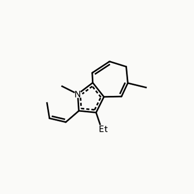 C/C=C\c1c(CC)c2c(n1C)C=CCC(C)=C2